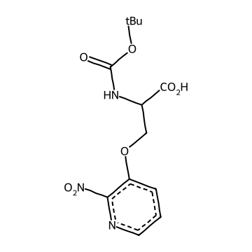 CC(C)(C)OC(=O)NC(COc1cccnc1[N+](=O)[O-])C(=O)O